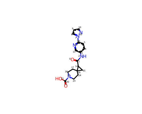 O=C(Nc1ccc(-n2cccn2)nc1)C1CC12CCN(C(=O)O)CC2